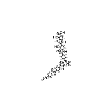 C#CCOc1ccc(C(=O)Nc2ccc(C(=O)NC(CC3(C)N=N3)C(=O)Nc3ccc(C(=O)Nc4ccc(C(=O)Nc5ccc(C(=O)O)c(O)c5OC)c(O)c4OC)cc3)cc2)cc1